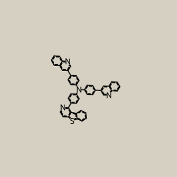 c1ccc2ncc(-c3ccc(N(c4ccc(-c5cnc6ccccc6c5)cc4)c4ccc(-c5nccc6sc7ccccc7c56)cc4)cc3)cc2c1